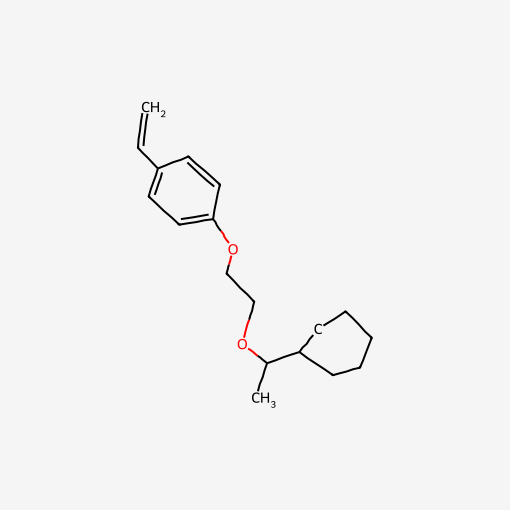 C=Cc1ccc(OCCOC(C)C2CCCCC2)cc1